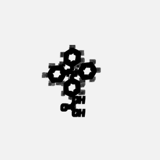 O=C(O)O.c1cc[c]([Pd]([c]2ccccc2)([c]2ccccc2)[c]2ccccc2)cc1